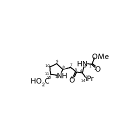 COC(=O)NC(C(=O)C[C@@H]1CC[C@@H](C(=O)O)N1)C(C)C